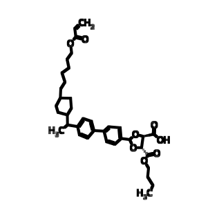 C=CC(=O)OCCCCCCC1CCC(C(C)c2ccc(-c3ccc(C4O[C@@H](C(=O)O)[C@H](C(=O)OCCCC)O4)cc3)cc2)CC1